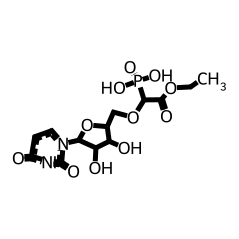 CCOC(=O)C(OCC1OC(n2ccc(=O)[nH]c2=O)C(O)C1O)P(=O)(O)O